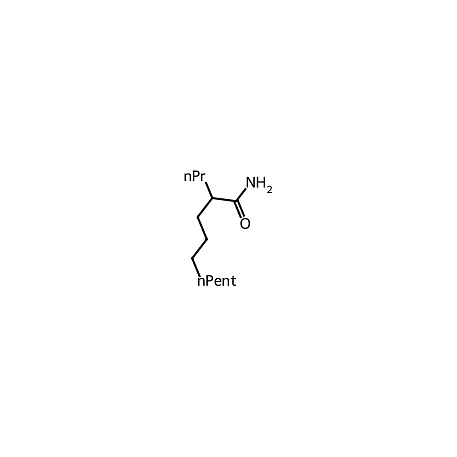 CCCCCCCCC(CCC)C(N)=O